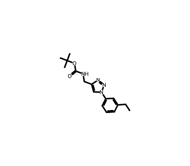 CCc1cccc(-n2cc(CNC(=O)OC(C)(C)C)nn2)c1